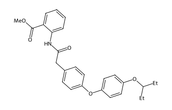 CCC(CC)Oc1ccc(Oc2ccc(CC(=O)Nc3ccccc3C(=O)OC)cc2)cc1